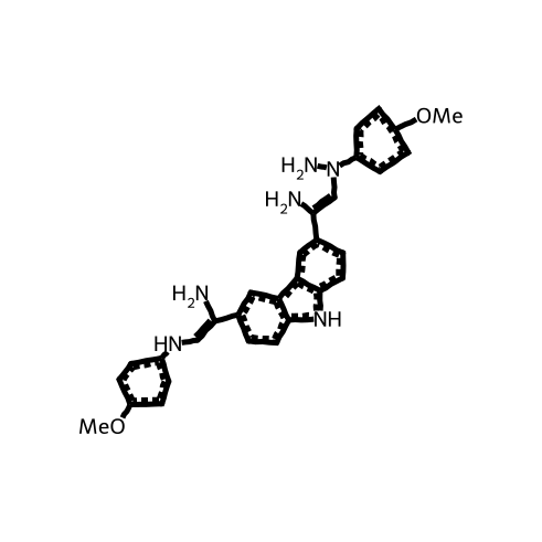 COc1ccc(N/C=C(\N)c2ccc3[nH]c4ccc(/C(N)=C/N(N)c5ccc(OC)cc5)cc4c3c2)cc1